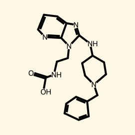 O=C(O)NCCn1c(NC2CCN(Cc3ccccc3)CC2)nc2cccnc21